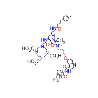 C[C@H](NC(=O)[C@H](CCCCNC(=O)CCCc1ccc(I)cc1)NC(=O)CN1CCN(CC(=O)O)CCN(CC(=O)O)CCN(CC(=O)O)CC1)C(=O)N1CCC(CCCOc2ccc3nccc(C(=O)NCC(=O)N4CC(F)(F)C[C@@H]4C#N)c3c2)CC1